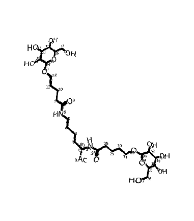 CC(=O)[C@@H](CCCCNC(=O)CCCCOC1OC(CO)C(O)C(O)C1O)NC(=O)CCCCOC1OC(CO)C(O)C(O)C1O